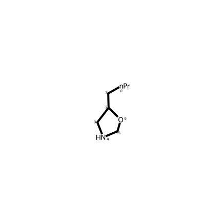 CCCCC1CN[CH]O1